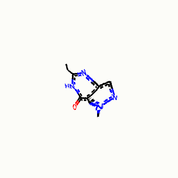 Cc1nc2cnn(C)c2c(=O)[nH]1